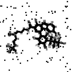 [2H]c1c([2H])c(-c2cc(C(=O)NCCCN(C)CCOP(=O)(O)O)c(C)c3c2C2=CC(C)C=NC2=N3)c([2H])c(S(=O)(=O)C([2H])([2H])C([2H])([2H])[2H])c1[2H]